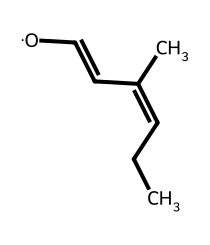 CCC=C(C)C=C[O]